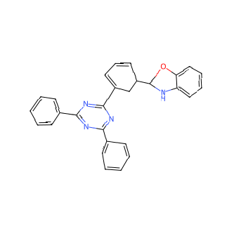 C1=CC(C2Nc3ccccc3O2)CC(c2nc(-c3ccccc3)nc(-c3ccccc3)n2)=C1